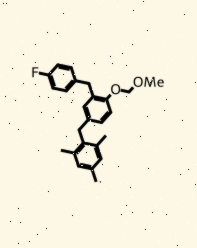 [CH2]c1cc(C)c(Cc2ccc(OCOC)c(Cc3ccc(F)cc3)c2)c(C)c1